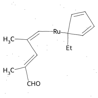 CC[C]1([Ru][CH]=C(C)C=C(C)C=O)C=CC=C1